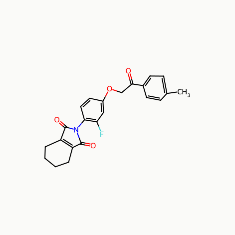 Cc1ccc(C(=O)COc2ccc(N3C(=O)C4=C(CCCC4)C3=O)c(F)c2)cc1